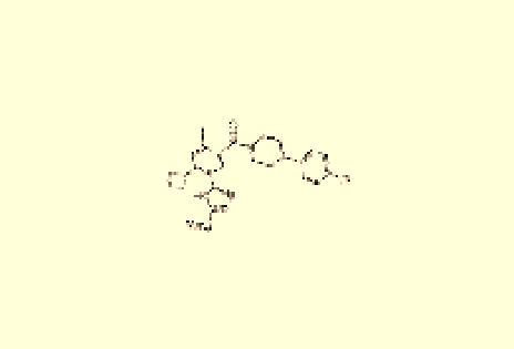 COc1cnc(-c2cc(C(=O)N3CCC(c4ccc(C#N)cc4)CC3)c(C)cc2C2CCC2)[nH]1